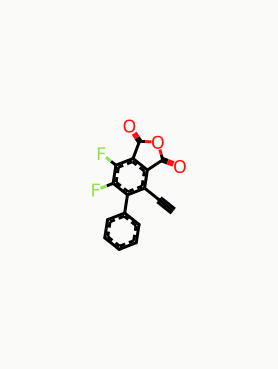 C#Cc1c2c(c(F)c(F)c1-c1ccccc1)C(=O)OC2=O